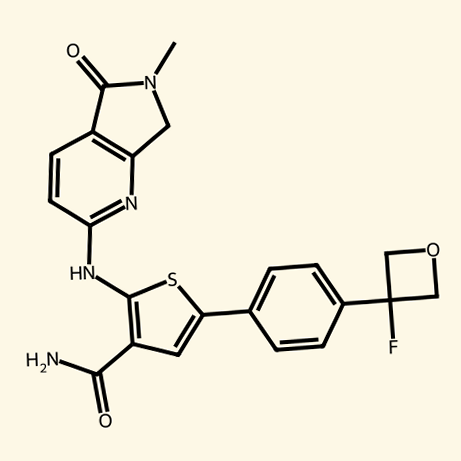 CN1Cc2nc(Nc3sc(-c4ccc(C5(F)COC5)cc4)cc3C(N)=O)ccc2C1=O